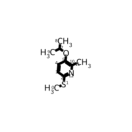 CSc1ccc(OC(C)C)c(C)n1